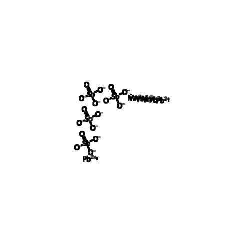 [Mn+2].[Mn+2].[Mn+2].[O]=[Sb]([O-])([O-])[O-].[O]=[Sb]([O-])([O-])[O-].[O]=[Sb]([O-])([O-])[O-].[O]=[Sb]([O-])([O-])[O-].[Pb+2].[Pb+2].[Pb+2]